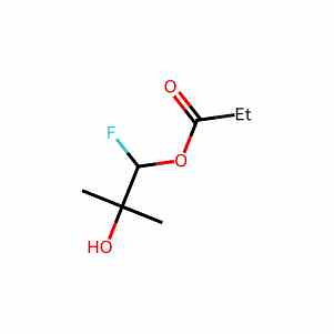 CCC(=O)OC(F)C(C)(C)O